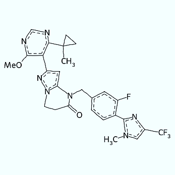 COc1ncnc(C2(C)CC2)c1-c1cc2n(n1)CCC(=O)N2Cc1ccc(-c2nc(C(F)(F)F)cn2C)c(F)c1